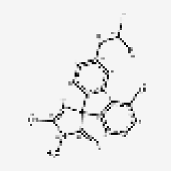 CCc1cccc(C2(c3ccc(OC(F)F)cc3)N=C(N)N(C)C2=O)c1